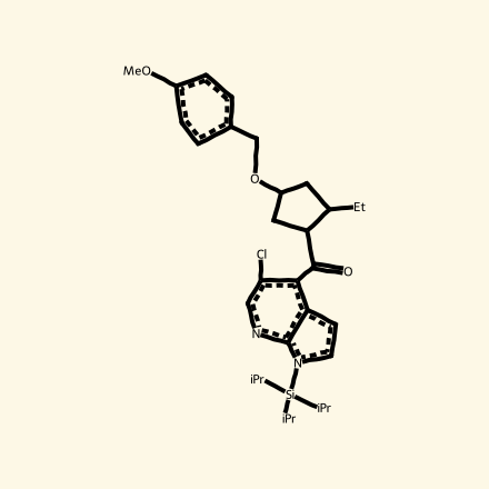 CCC1CC(OCc2ccc(OC)cc2)CC1C(=O)c1c(Cl)cnc2c1ccn2[Si](C(C)C)(C(C)C)C(C)C